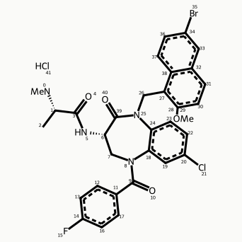 CN[C@@H](C)C(=O)N[C@H]1CN(C(=O)c2ccc(F)cc2)c2cc(Cl)ccc2N(Cc2c(OC)ccc3cc(Br)ccc23)C1=O.Cl